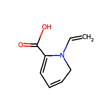 C=CN1CC=CC=C1C(=O)O